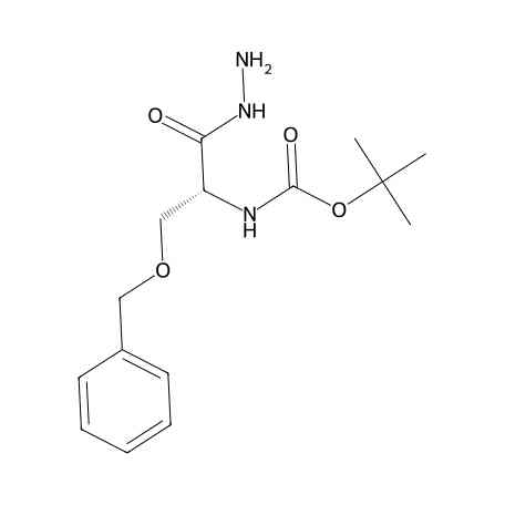 CC(C)(C)OC(=O)N[C@H](COCc1ccccc1)C(=O)NN